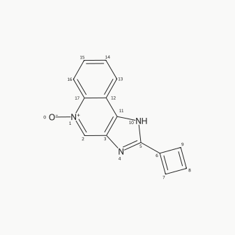 [O-][n+]1cc2nc(C3=CC=C3)[nH]c2c2ccccc21